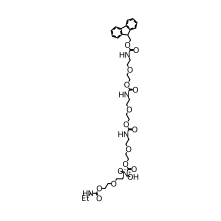 CCNC(=O)OCCOCC[N+]([O-])(O)C(=O)OCCOCCNC(=O)OCCOCCNC(=O)OCCOCCNC(=O)OCC1c2ccccc2-c2ccccc21